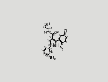 CCc1ccc(Cl)cc1-c1[nH]c(-c2ccnc(N)n2)cc1C(=O)NCCO